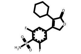 NS(=O)(=O)c1c(F)cc(C2=C(C3CCCCC3)C(=O)OC2)cc1F